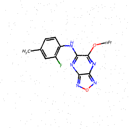 CCCOc1nc2nonc2nc1Nc1ccc(C)cc1F